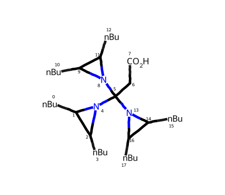 CCCCC1C(CCCC)N1C(CC(=O)O)(N1C(CCCC)C1CCCC)N1C(CCCC)C1CCCC